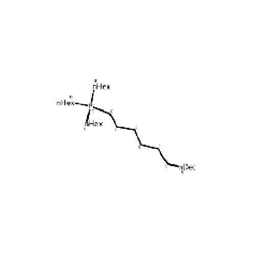 CCCCCCCCCCCCCCCC[P+](CCCCCC)(CCCCCC)CCCCCC